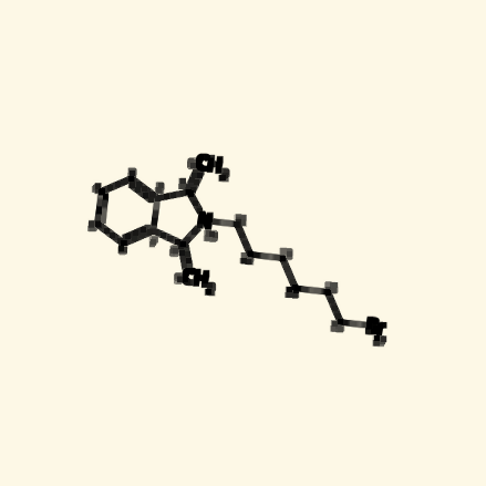 C=c1c2ccccc2c(=C)n1CCCCCCBr